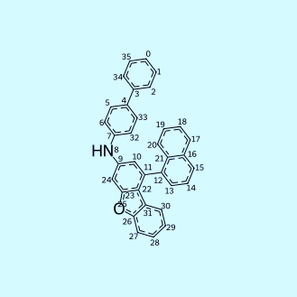 c1ccc(-c2ccc(Nc3cc(-c4cccc5ccccc45)c4c(c3)oc3ccccc34)cc2)cc1